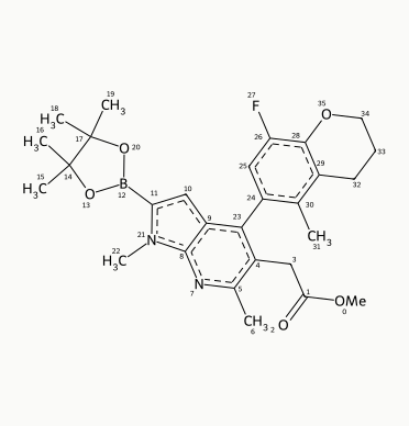 COC(=O)Cc1c(C)nc2c(cc(B3OC(C)(C)C(C)(C)O3)n2C)c1-c1cc(F)c2c(c1C)CCCO2